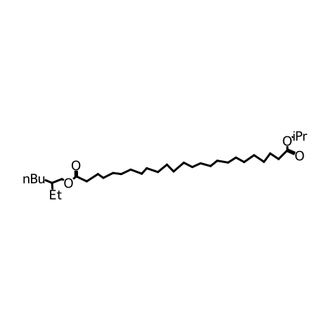 CCCCC(CC)COC(=O)CCCCCCCCCCCCCCCCCCCCCCCC(=O)OC(C)C